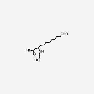 [NH]C(=O)CC(CCCCCCCCC=O)NCCO